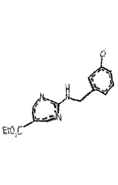 CCOC(=O)c1cnc(NCc2cccc(Cl)c2)nc1